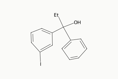 CCC(O)(c1ccccc1)c1cccc(I)c1